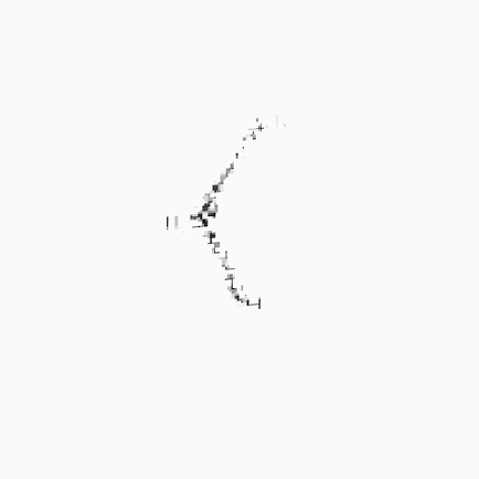 CCCCCCCCCCCCCCCCCCOC(=O)CC(C)C(=O)OCCCCCCCCCCCCCCCCCC